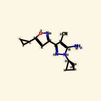 N#Cc1c(-c2cc(C3CC3)on2)nn(C23CC(C2)C3)c1N